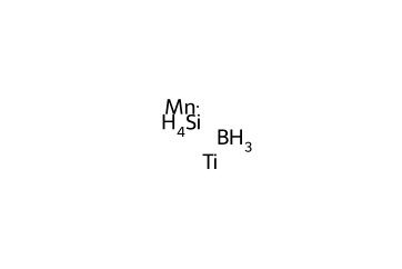 B.[Mn].[SiH4].[Ti]